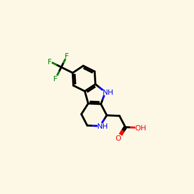 O=C(O)CC1NCCc2c1[nH]c1ccc(C(F)(F)F)cc21